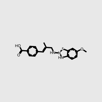 COc1ccc2c(c1)SN(NCC(C)=Cc1ccc(C(=O)O)cc1)N2